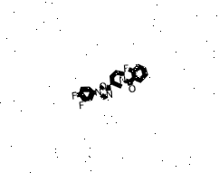 O=C(c1ccccc1F)N1CCC[C@H](C2=NCN(c3ccc(F)c(F)c3)O2)C1